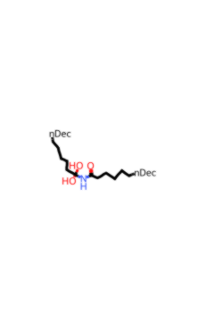 CCCCCCCCCCCCCCCC(=O)NC(O)(O)CCCCCCCCCCCCCCC